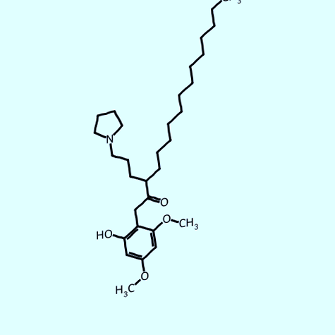 CCCCCCCCCCCCCC(CCCN1CCCC1)C(=O)Cc1c(O)cc(OC)cc1OC